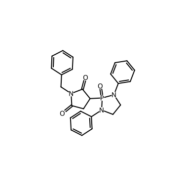 O=C1CC(P2(=O)N(c3ccccc3)CCN2c2ccccc2)C(=O)N1Cc1ccccc1